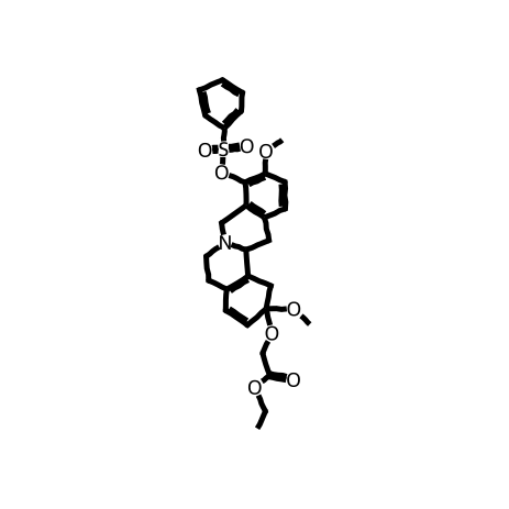 CCOC(=O)COC1(OC)C=CC2=C(C1)C1Cc3ccc(OC)c(OS(=O)(=O)c4ccccc4)c3CN1CC2